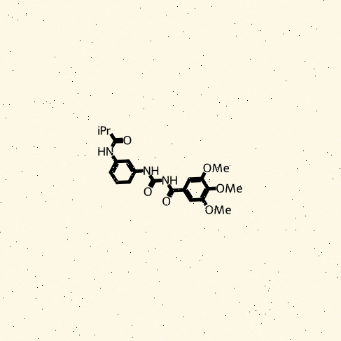 COc1cc(C(=O)NC(=O)NC2=CC(NC(=O)C(C)C)=CCC2)cc(OC)c1OC